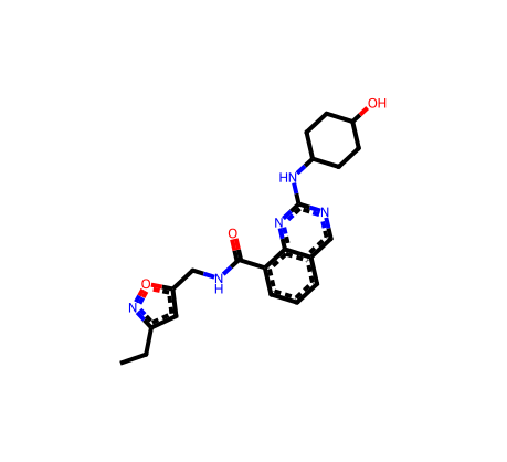 CCc1cc(CNC(=O)c2cccc3cnc(NC4CCC(O)CC4)nc23)on1